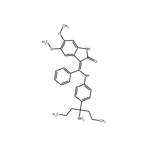 CCCC(N)(CCC)c1ccc(N/C(=C2\C(=O)Nc3cc(OC)c(OC)cc32)c2ccccc2)cc1